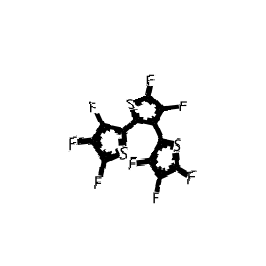 Fc1sc(-c2sc(F)c(F)c2-c2sc(F)c(F)c2F)c(F)c1F